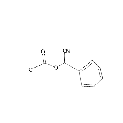 N#CC(OC([O])=O)c1ccccc1